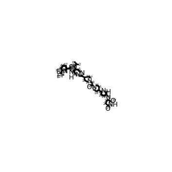 CC(C)Oc1cc2nc(C3CCN(CC(=O)N4CCC(c5ccc(NC6CCC(=O)NC6=O)cn5)CC4)CC3)cn2cc1NC(=O)c1cccc(C(F)(F)F)n1